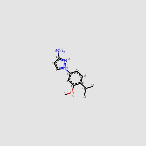 COc1cc(-n2ccc(N)n2)ccc1C(C)C